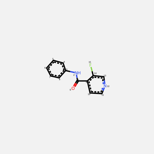 O=C(Nc1ccccc1)c1ccncc1F